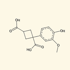 COc1cc(C2(C(=O)O)CC(C(=O)O)C2)ccc1O